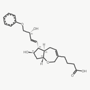 O=C(O)CCCC1=CC[C@@H]2[C@@H](C=C[C@@H](O)COc3ccccc3)[C@H](O)C[C@H]2OC1